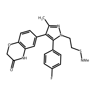 CNSCCn1nc(C)c(-c2ccc3c(c2)NC(=O)CO3)c1-c1ccc(F)cc1